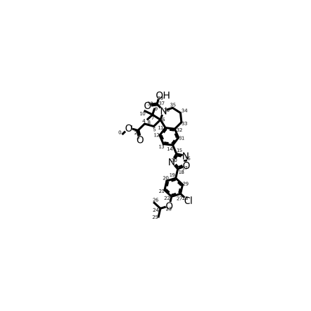 COC(=O)CCC1(C(C)(C)C)c2ccc(-c3noc(-c4ccc(OC(C)C)c(Cl)c4)n3)cc2CCCN1C(=O)O